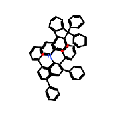 c1ccc(-c2ccc(-c3ccccc3N(c3ccc4c(c3)-c3ccccc3C4(c3ccccc3)c3ccccc3)c3cccc(-c4ccccc4)c3-c3ccccc3-c3ccccc3)cc2)cc1